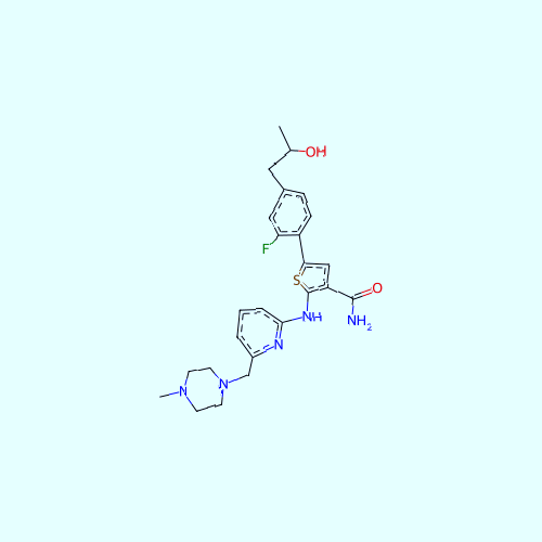 CC(O)Cc1ccc(-c2cc(C(N)=O)c(Nc3cccc(CN4CCN(C)CC4)n3)s2)c(F)c1